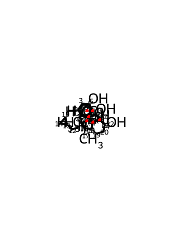 Cc1ccc(O)c2c1[C@]13CCN(CC4CC4)[C@H](C)[C@]14CC[C@](O)([C@@H]([C@](C)(O)C(C)(C)C)C4)[C@@H]3O2